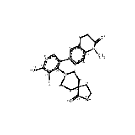 CN1C(=O)CCc2cc(-c3cnc(N)c(Cl)c3N3CCC4(CCNC4=O)CC3)ccc21